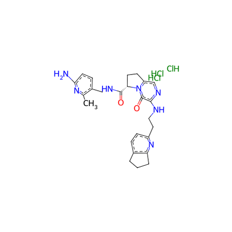 Cc1nc(N)ccc1CNC(=O)[C@@H]1CCc2cnc(NCCc3ccc4c(n3)CCC4)c(=O)n21.Cl.Cl.Cl